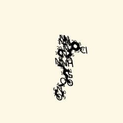 O=C(OCCN1CCOCC1)c1cc(-c2cnc([C@@H]3CCc4nc(-c5cc(Cl)ccc5-n5cnnn5)cc(=O)n43)[nH]2)cs1